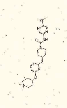 COc1cnc(NC(=O)N2CCC(=Cc3cccc(OC4CCC(C)(C)CC4)c3)CC2)cn1